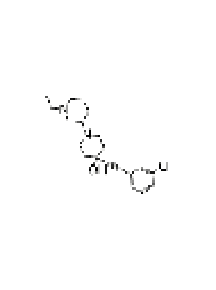 CCN1CCCC(N2CCC(O)(C#Cc3cccc(Cl)c3)CC2)C1